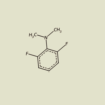 CN(C)c1c(F)c[c]cc1F